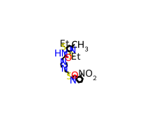 CCSc1cc(C)nc(SCC)c1NC(=O)CN1CCN(CCSc2nc3cccc([N+](=O)[O-])c3o2)CC1